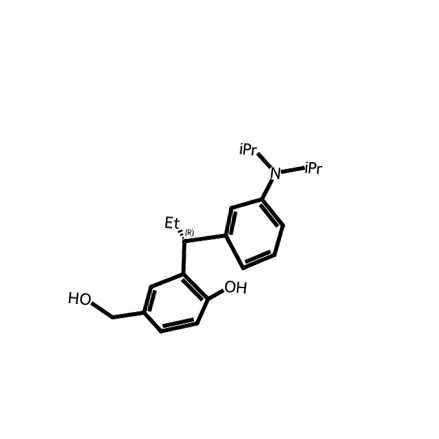 CC[C@H](c1cccc(N(C(C)C)C(C)C)c1)c1cc(CO)ccc1O